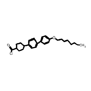 CCCCCCCCOc1ccc(-c2ccc(C3CCC(C(=O)Cl)CC3)cc2)cc1